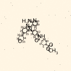 COC(=O)[C@H]1CC[C@H](C(=O)Nc2ccc(-n3c(-c4cccnc4N)nc4ccc(C5CCOCC5)cc43)cc2)CC1